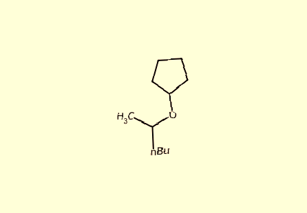 CCCCC(C)OC1CCCC1